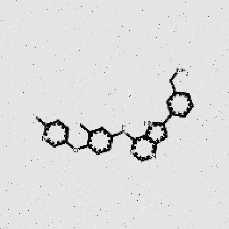 Cc1ccc(Oc2ccc(Nc3ncnc4cc(-c5cccc(CN)c5)[nH]c34)cc2C)cn1